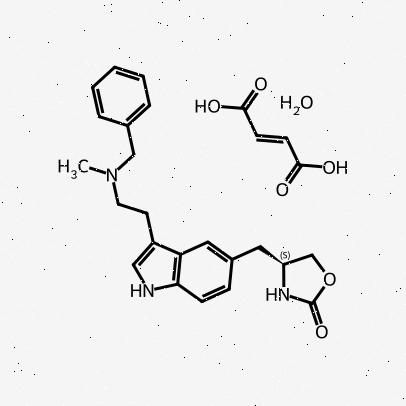 CN(CCc1c[nH]c2ccc(C[C@H]3COC(=O)N3)cc12)Cc1ccccc1.O.O=C(O)C=CC(=O)O